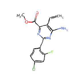 C=Cc1c(N)nc(-c2ccc(Cl)cc2F)nc1C(=O)OC